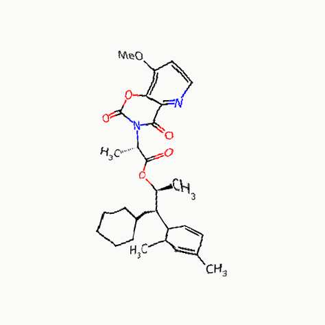 COc1ccnc2c(=O)n([C@@H](C)C(=O)O[C@@H](C)[C@H](C3CCCCC3)C3C=CC(C)=CC3C)c(=O)oc12